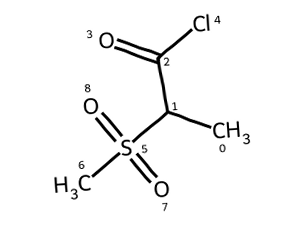 CC(C(=O)Cl)S(C)(=O)=O